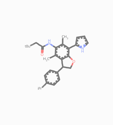 Cc1c(NC(=O)CC(C)(C)C)c(C)c2c(c1-c1ccc[nH]1)OCC2c1ccc(C(C)C)cc1